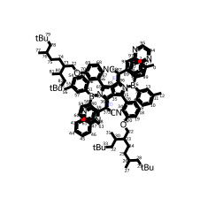 Cc1cccc(B(c2cccc(C)c2)n2c(-c3cccc(OCC(CCC(C)CC(C)(C)C)C(C)CC(C)(C)C)c3)c3/c(=C(\C#N)c4cnc5ccccc5n4)n(B(c4cccc(C)c4)c4cccc(C)c4)c(-c4cccc(OCC(CCC(C)CC(C)(C)C)C(C)CC(C)(C)C)c4)c3/c2=C(\C#N)c2ccc3nccnc3c2)c1